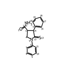 NC(=O)C1CN(c2ccccc2)C(=S)C1c1ccccc1